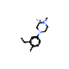 CCc1cc(N2CCN(C)[C@@H](C)C2)ccc1C